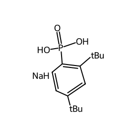 CC(C)(C)c1ccc(P(=O)(O)O)c(C(C)(C)C)c1.[NaH]